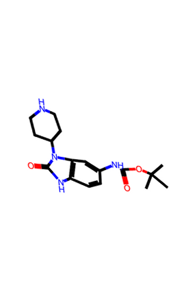 CC(C)(C)OC(=O)Nc1ccc2[nH]c(=O)n(C3CCNCC3)c2c1